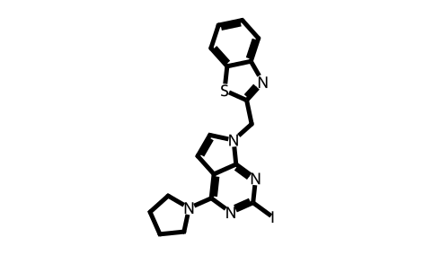 Ic1nc(N2CCCC2)c2ccn(Cc3nc4ccccc4s3)c2n1